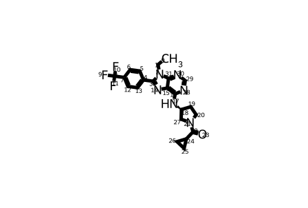 CCn1c(-c2ccc(C(F)(F)F)cc2)nc2c(N[C@H]3CCN(C(=O)C4CC4)C3)ncnc21